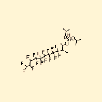 CC(C)O[SiH](OC(C)C)OC(C)C(F)C(F)(F)C(F)(F)C(F)(F)C(F)(F)C(F)(F)C(F)(F)C(F)C(F)C(F)F